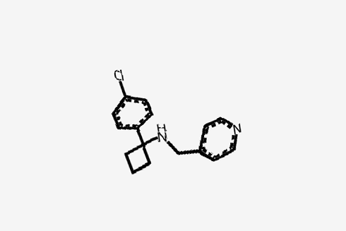 Clc1ccc(C2(NCc3ccncc3)CCC2)cc1